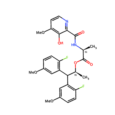 COc1ccc(F)c(C(c2cc(OC)ccc2F)[C@H](C)OC(=O)[C@H](C)NC(=O)c2nccc(OC)c2O)c1